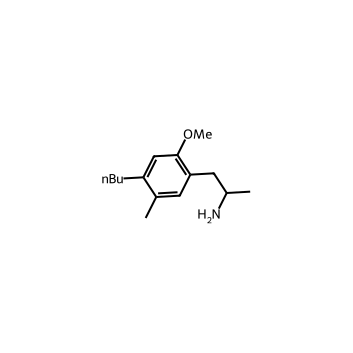 CCCCc1cc(OC)c(CC(C)N)cc1C